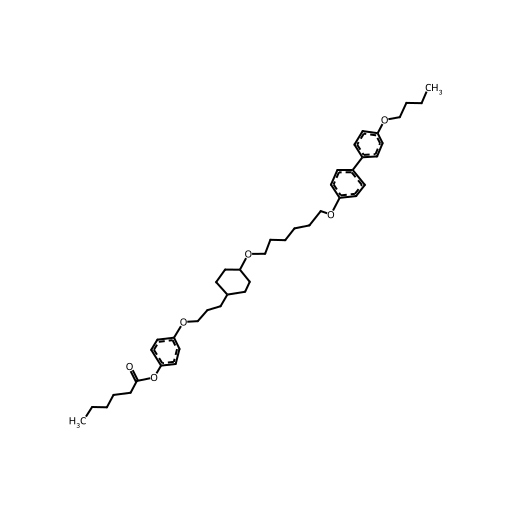 CCCCCC(=O)Oc1ccc(OCCCC2CCC(OCCCCCCOc3ccc(-c4ccc(OCCCC)cc4)cc3)CC2)cc1